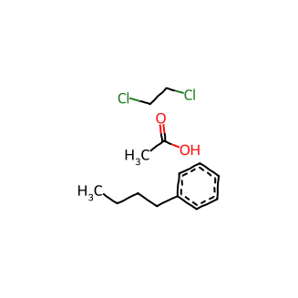 CC(=O)O.CCCCc1ccccc1.ClCCCl